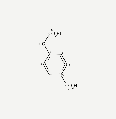 CCOC(=O)Oc1ccc(C(=O)O)cc1